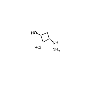 Cl.NNC1CC(O)C1